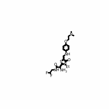 CCn1c(=O)/c(=C\Nc2ccc(OCCN(C)C)cc2)s/c1=C(/N)C(=O)NCC(F)F